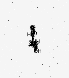 CCCN1C(=O)[C@H](CCCCNC(=O)OCc2ccccc2)NC(=O)C12CCN(CCO)CC2